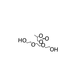 CC1COC(=O)O1.OCCOCCOCCO